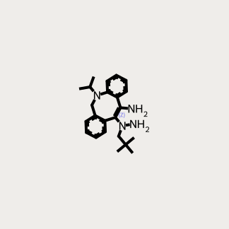 CC(C)N1Cc2ccccc2/C(N(N)CC(C)(C)C)=C(/N)c2ccccc21